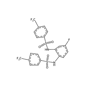 O=S(=O)(Nc1ccc(F)cc1NS(=O)(=O)c1ccc(C(F)(F)F)cc1)c1ccc(C(F)(F)F)cc1